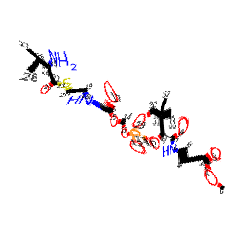 COC(=O)CCNC(=O)[C@@H]1OP(=O)(OCOC(=O)NCCSC(=O)C(N)C(C)C)OCC1(C)C